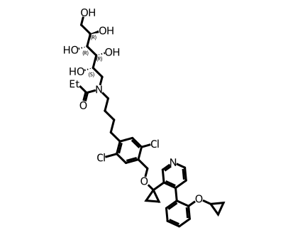 CCC(=O)N(CCCCc1cc(Cl)c(COC2(c3cnccc3-c3ccccc3OC3CC3)CC2)cc1Cl)C[C@H](O)[C@@H](O)[C@H](O)[C@H](O)CO